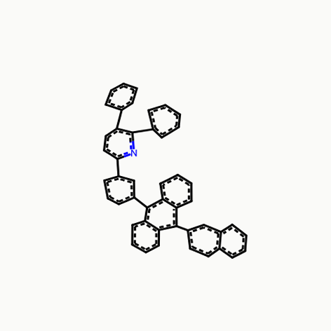 c1ccc(-c2ccc(-c3cccc(-c4c5ccccc5c(-c5ccc6ccccc6c5)c5ccccc45)c3)nc2-c2ccccc2)cc1